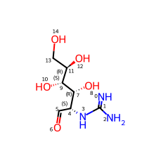 N=C(N)N[C@H](C=O)[C@@H](O)[C@H](O)[C@H](O)CO